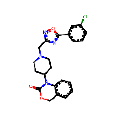 O=C1OCc2ccccc2N1C1CCN(Cc2noc(-c3cccc(Cl)c3)n2)CC1